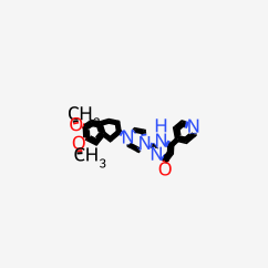 COc1cc2c(cc1OC)CC(N1CCN(c3nc(=O)cc(-c4ccncc4)[nH]3)CC1)CC2